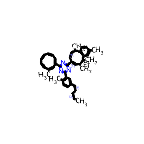 C/C=C\C=C/c1ccc(C)c(-c2nc(C3=C/C(C)C(C)(CC)c4cc(C)ccc4C(C)/C=C\3)nc(-c3cccccccc(C)c3)n2)c1